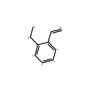 [CH]=Cc1ccccc1C[CH2]